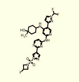 CC1(O)CCC(Nc2cc(Nc3ccnc(-c4cnn(S(=O)(=O)N5CC(F)C5)c4)n3)ncc2-c2ccn(C(F)F)n2)CC1